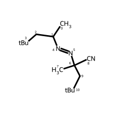 CC(CC(C)(C)C)N=NC(C)(C#N)CC(C)(C)C